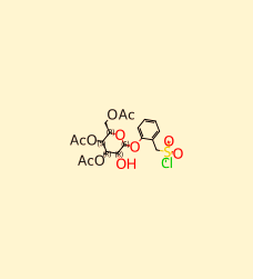 CC(=O)OC[C@H]1O[C@@H](Oc2ccccc2CS(=O)(=O)Cl)[C@H](O)[C@@H](OC(C)=O)[C@H]1OC(C)=O